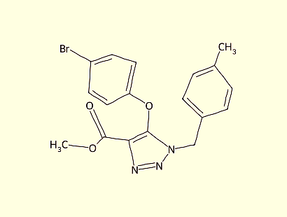 COC(=O)c1nnn(Cc2ccc(C)cc2)c1Oc1ccc(Br)cc1